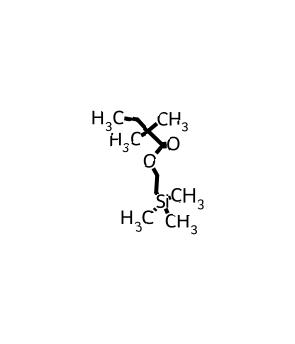 CCC(C)(C)C(=O)OCC[Si](C)(C)C